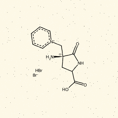 Br.N[C@]1(C[n+]2ccccc2)CC(C(=O)O)NC1=O.[Br-]